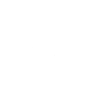 CCC(C)(C)CCC(C)(C)OC(C)(C)CCC(C)(C)CC